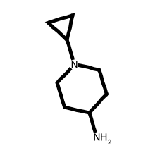 NC1CCN(C2CC2)CC1